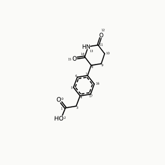 O=C(O)Cc1ccc(C2CCC(=O)NC2=O)cc1